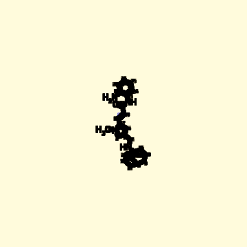 Cn1cc(CNC23CC4CC(CC(C4)C2)C3)cc1/C=C/C(=O)Nc1ccccc1N